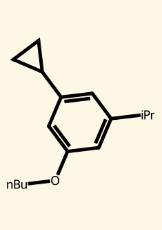 [CH2]C(C)c1cc(OCCCC)cc(C2CC2)c1